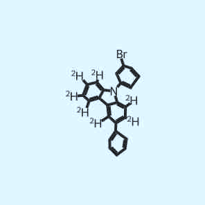 [2H]c1c([2H])c([2H])c2c(c1[2H])c1c([2H])c(-c3ccccc3)c([2H])c([2H])c1n2-c1cccc(Br)c1